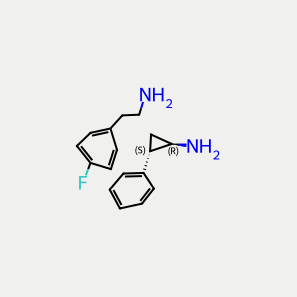 NCCc1ccc(F)cc1.N[C@@H]1C[C@H]1c1ccccc1